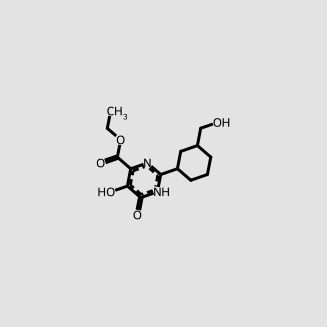 CCOC(=O)c1nc(C2CCCC(CO)C2)[nH]c(=O)c1O